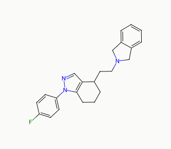 Fc1ccc(-n2ncc3c2CCCC3CCN2Cc3ccccc3C2)cc1